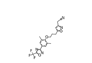 Cc1cc(-c2noc(C(F)(F)F)n2)cc(C)c1OCCCc1cc(CC#N)no1